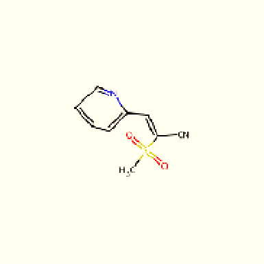 CS(=O)(=O)C(C#N)=Cc1ccccn1